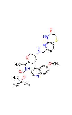 COc1ccc2nccc(C3C[C@@H](NCc4ccc5c(n4)NC(=O)CS5)CO[C@@H]3C(C)NC(=O)OC(C)(C)C)c2c1